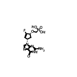 Nc1nc2c(ncn2[C@@H]2C=C(F)[C@H](OCP(=O)(O)O)C2)c(=O)[nH]1